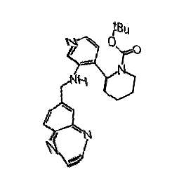 CC(C)(C)OC(=O)N1CCCCC1c1ccncc1NCc1ccc2nccnc2c1